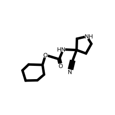 N#CC1(NC(=O)OC2CCCCC2)CCNC1